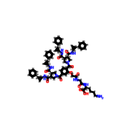 NCCCC[C@H](NC(=O)CNC(=O)COc1cc(C(=O)N2C[C@@H](C(=O)N[C@H]3C[C@@H]3c3ccccc3)[C@H](C(=O)N[C@H]3C[C@@H]3c3ccccc3)C2)ccc1C(=O)N1C[C@@H](C(=O)N[C@H]2C[C@@H]2c2ccccc2)[C@H](C(=O)N[C@H]2C[C@@H]2c2ccccc2)C1)C(=O)O